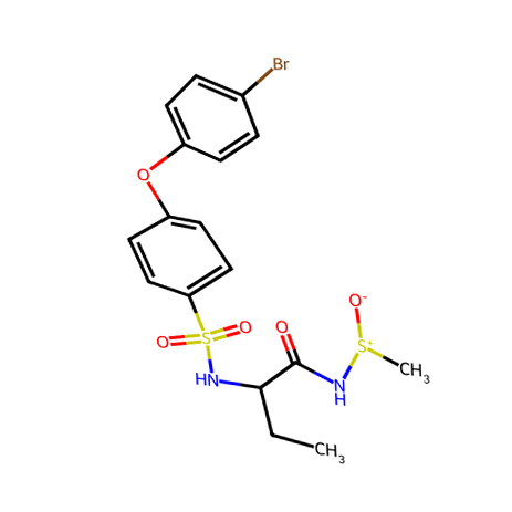 CCC(NS(=O)(=O)c1ccc(Oc2ccc(Br)cc2)cc1)C(=O)N[S+](C)[O-]